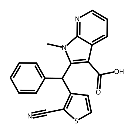 Cn1c(C(c2ccccc2)c2ccsc2C#N)c(C(=O)O)c2cccnc21